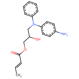 CC=CC(=O)OCC(O)CN(c1ccccc1)c1ccc(N)cc1